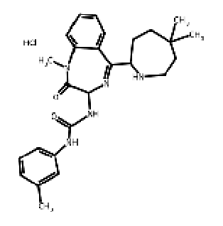 Cc1cccc(NC(=O)NC2N=C(C3CCC(C)(C)CCN3)c3ccccc3N(C)C2=O)c1.Cl